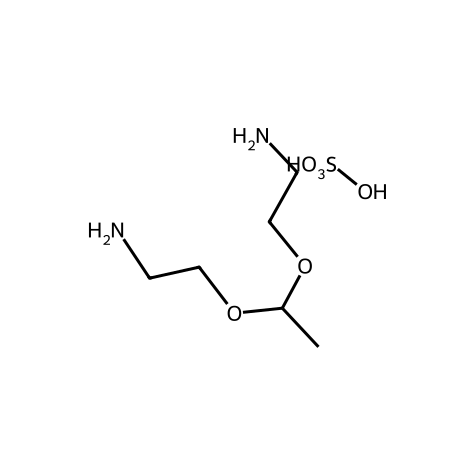 CC(OCCN)OCCN.O=S(=O)(O)O